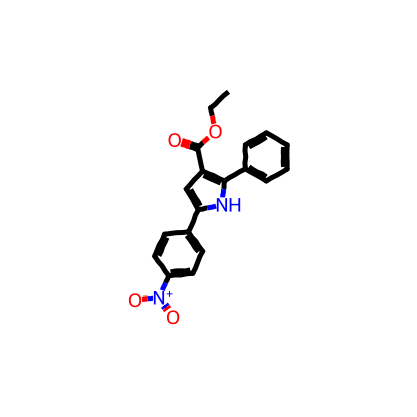 CCOC(=O)c1cc(-c2ccc([N+](=O)[O-])cc2)[nH]c1-c1ccccc1